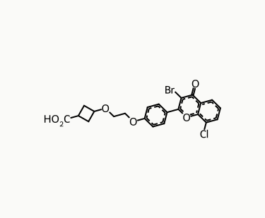 O=C(O)C1CC(OCCOc2ccc(-c3oc4c(Cl)cccc4c(=O)c3Br)cc2)C1